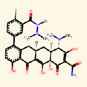 CCN(C(=O)c1cc(-c2ccc(O)c3c2C[C@H]2C[C@H]4[C@H](N(C)C)C(O)=C(C(N)=O)C(=O)[C@@]4(O)C(O)=C2C3=O)ccc1F)N(C)C